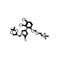 CC1(C)OC[C@H](CN2C[C@@H](c3c(OCOCC[Si](C)(C)C)ccc(Cl)c3Cl)CC2=S)O1